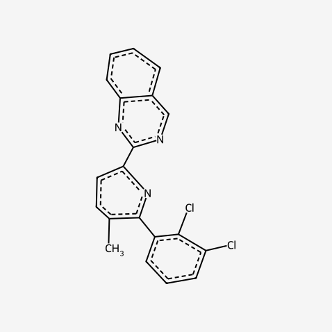 Cc1ccc(-c2ncc3ccccc3n2)nc1-c1cccc(Cl)c1Cl